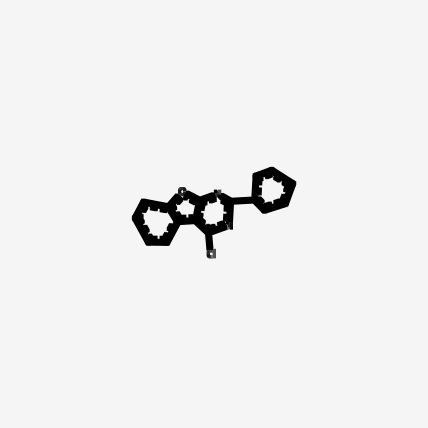 Clc1nc(-c2ccccc2)nc2oc3ccccc3c12